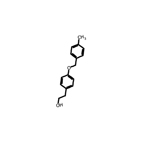 Cc1ccc(COc2ccc(CCO)cc2)cc1